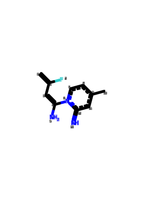 C=C(F)/C=C(/N)n1ccc(C)cc1=N